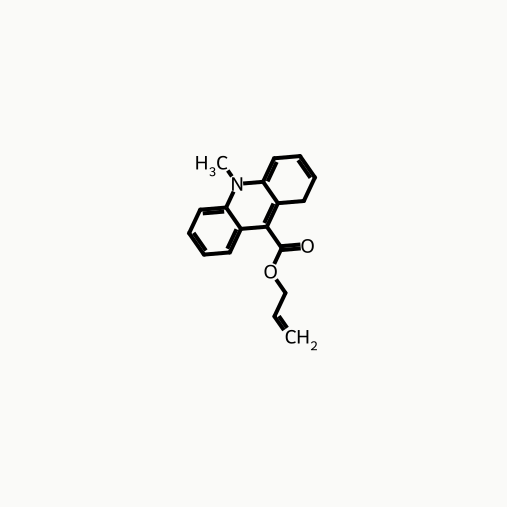 C=CCOC(=O)C1=C2CC=CC=C2N(C)c2ccccc21